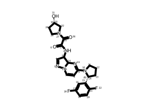 O=C(NC1C=NN2C=CC(N3CCC[C@@H]3c3cc(F)ccc3F)=NC12)C(=O)N1CC[C@H](O)C1